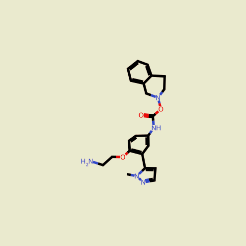 Cn1nccc1-c1cc(NC(=O)ON2CCc3ccccc3C2)ccc1OCCN